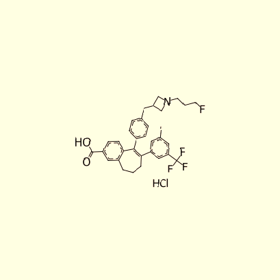 Cc1cc(C2=C(c3ccc(CC4CN(CCCF)C4)cc3)c3ccc(C(=O)O)cc3CCC2)cc(C(F)(F)F)c1.Cl